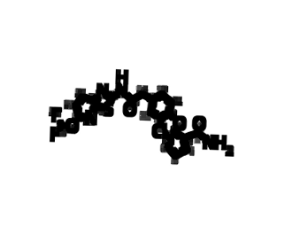 NC(=O)c1cccnc1Oc1ccc(CC(=O)Nc2nc3ccc(OC(F)F)nc3s2)cc1Cl